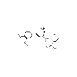 COc1ccc(/C=C/C(=O)Nc2ccccc2C(=O)O)cc1OC.[NaH]